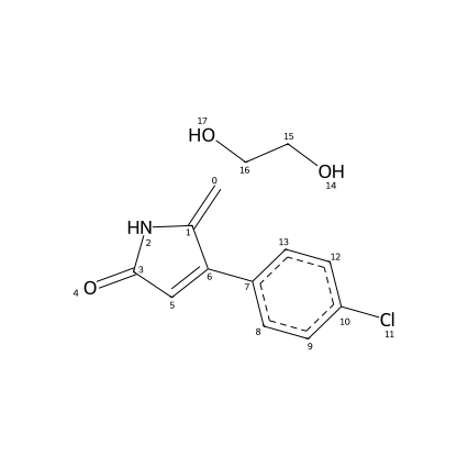 C=C1NC(=O)C=C1c1ccc(Cl)cc1.OCCO